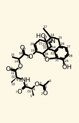 CC(=O)O[C@@H](C)C(=O)N[C@@H](C)C(=O)OC(C)C(=O)OC1=CCC2(O)C3Cc4ccc(O)c5c4C2(CCN3C)C1O5